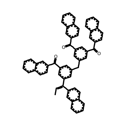 CC=C(c1cc(Cc2cc(C(=O)c3ccc4ccccc4c3)cc(C(=O)c3ccc4ccccc4c3)c2)cc(C(=O)c2ccc3ccccc3c2)c1)c1ccc2ccccc2c1